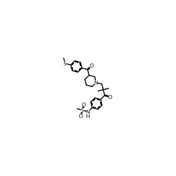 CSc1ccc(C(=O)C2CCCN(CC(C)(C)C(=O)c3ccc(NS(C)(=O)=O)cc3)C2)cc1